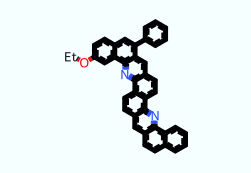 CCOc1ccc2cc(-c3ccccc3)c3cc4ccc5c(ccc6cc7ccc8ccccc8c7nc65)c4nc3c2c1